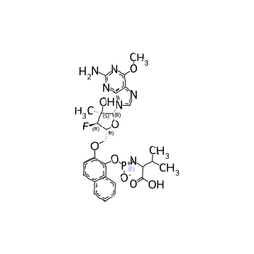 COc1nc(N)nc2c1ncn2[C@@H]1O[C@H](COc2ccc3ccccc3c2O/[P+]([O-])=N/C(C(=O)O)C(C)C)[C@@H](F)[C@@]1(C)O